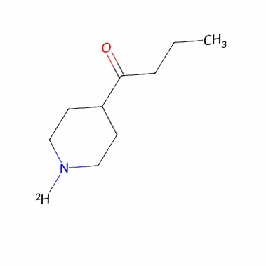 [2H]N1CCC(C(=O)CCC)CC1